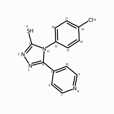 Sc1nnc(-c2ccncc2)n1-c1ccc(Cl)cc1